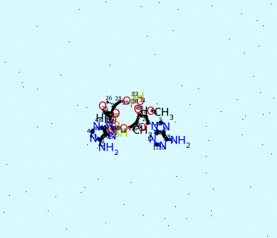 CO[C@H]1[C@H](n2cnc3c(N)ncnc32)O[C@]2(C)CO[P@@](=O)(S)O[C@H]3[C@H]4OC[C@]3(CO[P@@](=O)(S)O[C@@H]12)O[C@H]4n1cnc2c(N)ncnc21